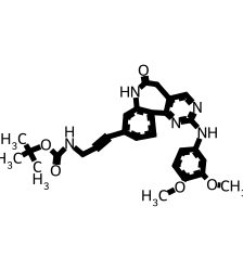 COc1ccc(Nc2ncc3c(n2)-c2ccc(C#CCNC(=O)OC(C)(C)C)cc2NC(=O)C3)cc1OC